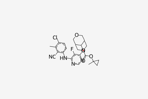 Cc1c(Cl)ccc(Nc2ncnc(OC3C4COCC3CN(C(=O)OC3(C)CC3)C4)c2F)c1C#N